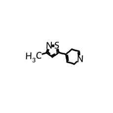 Cc1cc(C2=CCN=CC2)sn1